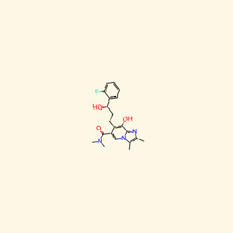 Cc1nc2c(O)c(CC[C@@H](O)c3ccccc3F)c(C(=O)N(C)C)cn2c1C